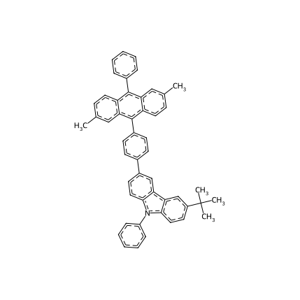 Cc1ccc2c(-c3ccc(-c4ccc5c(c4)c4cc(C(C)(C)C)ccc4n5-c4ccccc4)cc3)c3cc(C)ccc3c(-c3ccccc3)c2c1